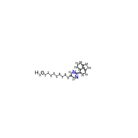 CCCCCCCCCCc1cnc(-c2ccc3c4c(cccc24)CC3)nc1